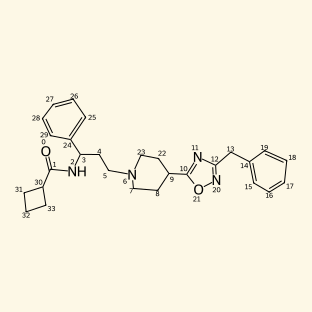 O=C(NC(CCN1CCC(c2nc(Cc3ccccc3)no2)CC1)c1ccccc1)C1CCC1